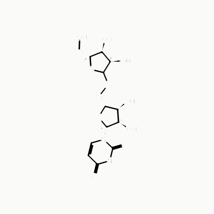 O=c1ccn([C@@H]2O[C@H](COC3O[C@H](CO)[C@@H](O)[C@H]3O)[C@@H](O)[C@H]2O)c(=O)[nH]1